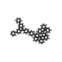 c1ccc(-c2ccc3c(c2)c2cc(-c4ccccc4)ccc2n3-c2ccc(-c3ccc(-c4ccc(N(c5ccc6c(c5)C5(c7ccccc7-c7ccccc75)c5ccccc5-6)c5c(-c6ccccc6)cccc5-c5ccccc5)cc4)cc3)cc2)cc1